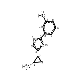 N[C@H]1C[C@H]1c1cnc(-c2cccc(O)c2)s1